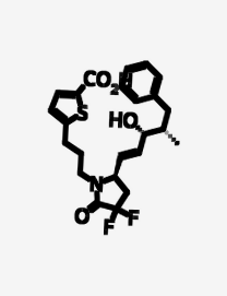 C[C@@H](Cc1ccccc1)[C@@H](O)/C=C/[C@H]1CC(F)(F)C(=O)N1CCCc1ccc(C(=O)O)s1